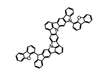 c1ccc2c(c1)-c1cc3c4cccc5c6cc7c(cc6n(c3cc1C2c1cccc2c1oc1ccccc12)c45)c1cccc2c3cc4c5ccccc5n(-c5cccc6c5oc5ccccc56)c4cc3n7c12